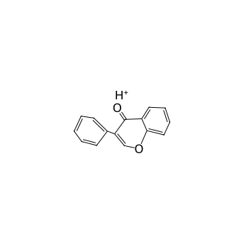 O=c1c(-c2ccccc2)coc2ccccc12.[H+]